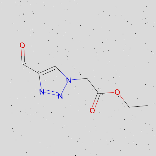 CCOC(=O)Cn1cc(C=O)nn1